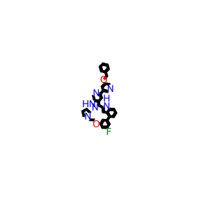 Fc1cc(OCCN2CCCC2)cc(-c2cccc3[nH]c(-c4n[nH]c5cnc(-c6cncc(OCc7ccccc7)c6)cc45)cc23)c1